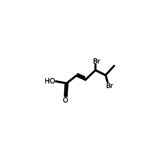 CC(Br)C(Br)C=CC(=O)O